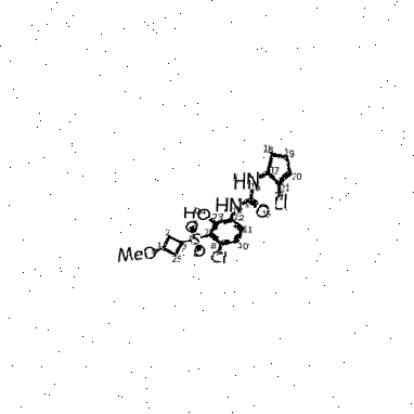 CO[C@H]1C[C@@H](S(=O)(=O)c2c(Cl)ccc(NC(=O)NC3CCC=C3Cl)c2O)C1